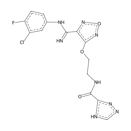 N=C(Nc1ccc(F)c(Cl)c1)c1nonc1OCCNC(=O)c1nnc[nH]1